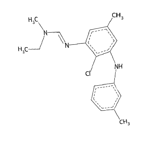 CCN(C)C=Nc1cc(C)cc(Nc2cccc(C)c2)c1Cl